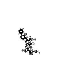 Nc1nc(/C(=N/O)C(=O)N[C@@H]2C(=O)N3C(C(=O)O)=C(/C=C4\CCCN(c5ccccc5)C4=O)CS[C@H]23)cs1